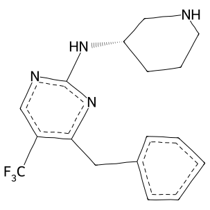 FC(F)(F)c1cnc(N[C@H]2CCCNC2)nc1Cc1ccccc1